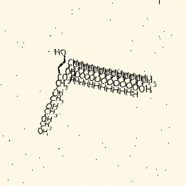 CO.CO.CO.CO.CO.CO.CO.CO.CO.CO.CO.CO.CO.CO.CO.CO.CO.CO.O=C(O)CCO